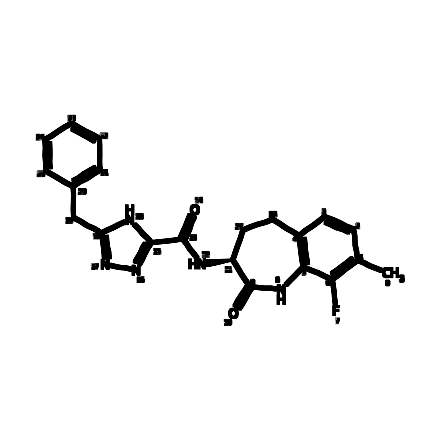 Cc1ccc2c(c1F)NC(=O)[C@@H](NC(=O)c1nnc(Cc3ccccc3)[nH]1)CC2